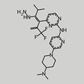 C=C(/C(=C(\NN)C(C)C)c1ccnc(Nc2ccc(N3CCC(N(C)C)CC3)cn2)n1)C(F)(F)F